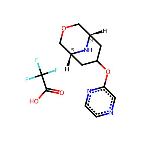 O=C(O)C(F)(F)F.c1cnc(OC2C[C@H]3COC[C@@H](C2)N3)cn1